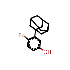 Oc1ccc(Br)c(C23CC4CC(CC(C4)C2)C3)c1